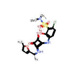 CC[C@@H](Nc1c(Nc2ccc(Cl)c(S(=O)(=O)N(C)OC)c2O)c(=O)c1=O)c1ccc(C)o1